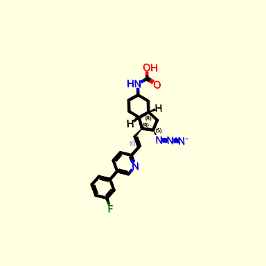 [N-]=[N+]=N[C@H]1C[C@H]2CC(NC(=O)O)CC[C@H]2[C@@H]1/C=C/c1ccc(-c2cccc(F)c2)cn1